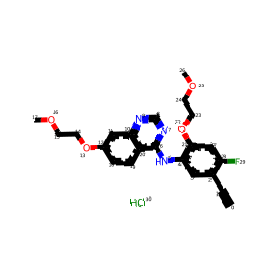 C#Cc1cc(Nc2ncnc3cc(OCCOC)ccc23)c(OCCOC)cc1F.Cl